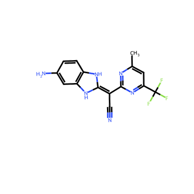 Cc1cc(C(F)(F)F)nc(/C(C#N)=C2\Nc3ccc(N)cc3N2)n1